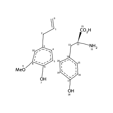 C=CCc1ccc(O)c(OC)c1.N[C@@H](Cc1ccc(O)cc1)C(=O)O